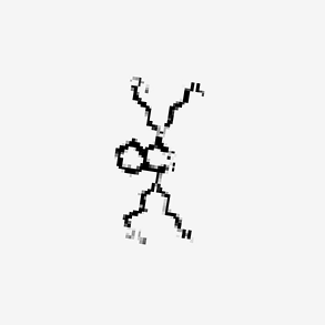 CCCCN(CCCC)C(=O)c1ccccc1C(=O)N(CCCC)CCCC